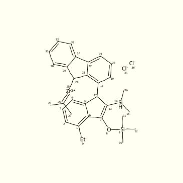 CCc1cccc2c1C(O[Si](C)(C)C)=C([SiH](C)C)C2c1cccc2c1[CH]([Zr+2]=[C](C)C)c1ccccc1-2.[Cl-].[Cl-]